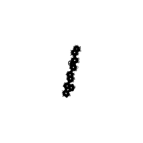 c1ccc2c(c1)-c1cccc3c(-c4ccc5cc(-c6ccc7c(c6)oc6cc(-c8ccc9ccccc9c8)ccc67)ccc5c4)ccc-2c13